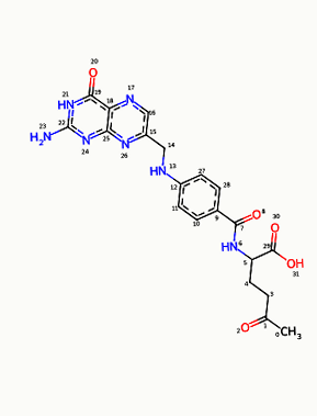 CC(=O)CCC(NC(=O)c1ccc(NCc2cnc3c(=O)[nH]c(N)nc3n2)cc1)C(=O)O